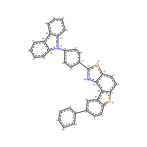 c1ccc(-c2ccc3sc4ccc5sc(-c6ccc(-n7c8ccccc8c8ccccc87)cc6)nc5c4c3c2)cc1